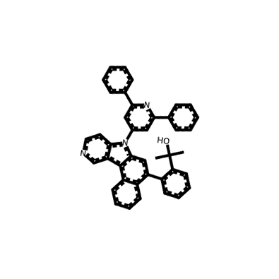 CC(C)(O)c1ccccc1-c1cc2c(c3ccccc13)c1cnccc1n2-c1cc(-c2ccccc2)nc(-c2ccccc2)c1